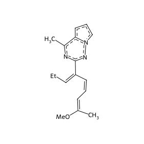 CC/C=C(/C=C\C=C(/C)OC)c1nc(C)c2cccn2n1